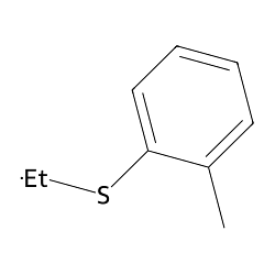 C[CH]Sc1ccccc1C